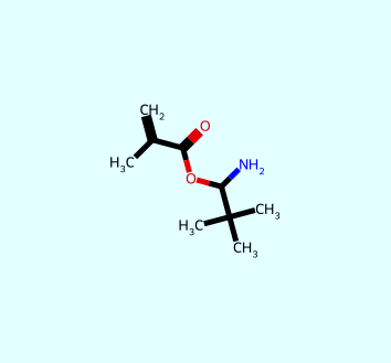 C=C(C)C(=O)OC(N)C(C)(C)C